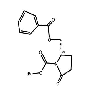 CC(C)(C)OC(=O)N1C(=O)CC[C@H]1COC(=O)c1ccccc1